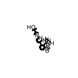 CC(C)(O)C1CN(c2ccc(-c3cccc(S(C)(=O)=O)c3-c3nnn[nH]3)cn2)C1